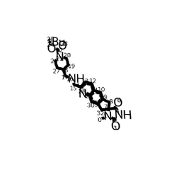 CN1C(=O)NC(=O)C12Cc1cc3ccc(CNCC4CCN(C(=O)OC(C)(C)C)CC4)nc3cc1C2